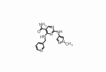 Cn1cc(Nc2ncc(C(N)=O)c(NCc3cccnc3)n2)cn1